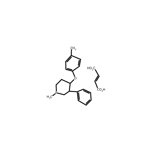 Cc1ccc(OC2CCN(C)CC2c2ccccc2)cc1.O=C(O)C=CC(=O)O